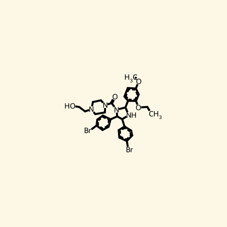 CCOc1cc(OC)ccc1C1NC(c2ccc(Br)cc2)C(c2ccc(Br)cc2)N1C(=O)N1CCN(CCO)CC1